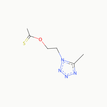 CC(=S)OCCn1nnnc1C